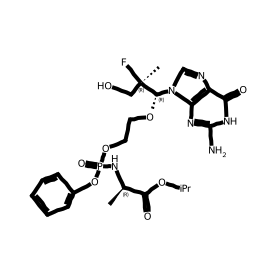 CC(C)OC(=O)[C@@H](C)NP(=O)(OCCO[C@@H](n1cnc2c(=O)[nH]c(N)nc21)[C@](C)(F)CO)Oc1ccccc1